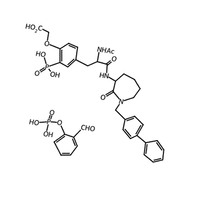 CC(=O)NC(Cc1ccc(OCC(=O)O)c(P(=O)(O)O)c1)C(=O)NC1CCCCN(Cc2ccc(-c3ccccc3)cc2)C1=O.O=Cc1ccccc1OP(=O)(O)O